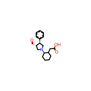 O=C[C@H]1CN([C@@H]2CCCCC2CC(=O)O)C[C@@H]1c1ccccc1